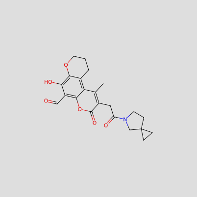 Cc1c(CC(=O)N2CCC3(CC3)C2)c(=O)oc2c(C=O)c(O)c3c(c12)CCCO3